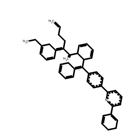 C=CCC/C(C(=C)C1C=CC=CC1/C(=C1/C=CC=CC1)c1ccc(-c2cccc(C3=CCCC=C3)n2)cc1)=C1/C=CC=C(CC)C1